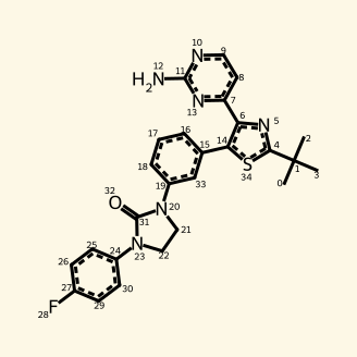 CC(C)(C)c1nc(-c2ccnc(N)n2)c(-c2cccc(N3CCN(c4ccc(F)cc4)C3=O)c2)s1